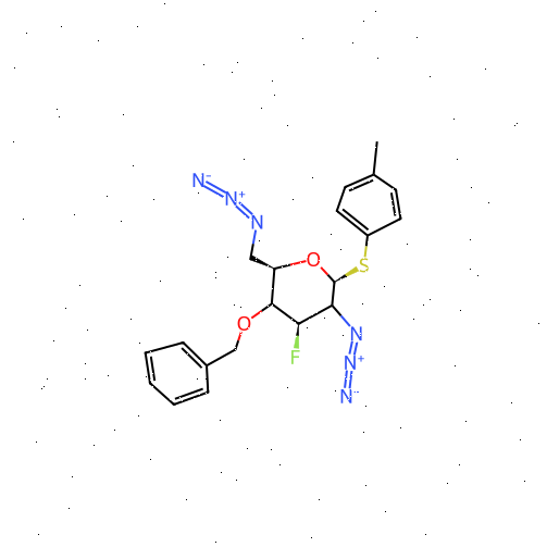 Cc1ccc(S[C@@H]2O[C@H](CN=[N+]=[N-])C(OCc3ccccc3)[C@H](F)C2N=[N+]=[N-])cc1